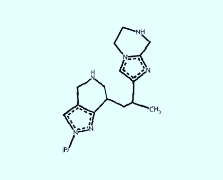 CC(CC1CNCc2cn(C(C)C)nc21)c1cn2c(n1)CNCC2